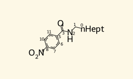 CCCCCCCCNC(=O)c1ccc([N+](=O)[O-])cc1